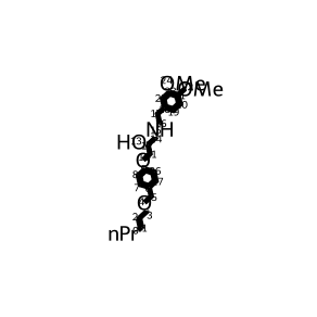 CCCC=CCOCc1ccc(OCC(O)CNCCc2ccc(OC)c(OC)c2)cc1